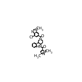 Cc1cc(C(=O)N[C@@H]2CCN(C(=O)c3cc(Cl)c4ncn(C)c4c3)C[C@@H]2c2ccccc2)n(C)n1